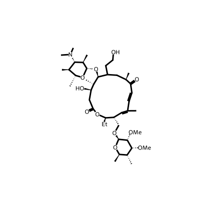 CC[C@H]1OC(=O)C[C@@H](O)[C@H](C)[C@@H](O[C@@H]2O[C@H](C)[C@@H](C)[C@H](N(C)C)[C@H]2C)C(CCO)C[C@@H](C)C(=O)/C=C/C(C)=C/[C@@H]1CO[C@@H]1O[C@H](C)[C@@H](C)[C@@H](OC)[C@H]1OC